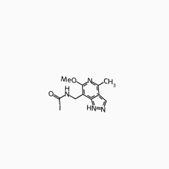 COc1nc(C)c2cn[nH]c2c1CNC(=O)I